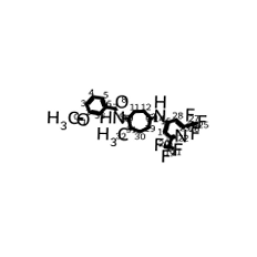 COc1cccc(C(=O)N[C@H]2CC[C@@H](Nc3cc(C(F)(F)F)nc(C(F)(F)F)c3)CCC2C)c1